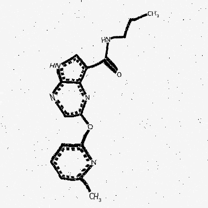 CCCNC(=O)c1c[nH]c2ncc(Oc3cccc(C)n3)nc12